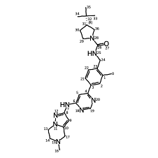 Cc1cc(-c2cc(Nc3cc4n(n3)CCN(C)C4)ncn2)ccc1CNC(=O)N1CC[C@H](C(C)(C)C)C1